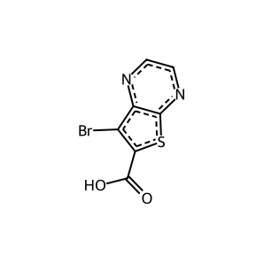 O=C(O)c1sc2nccnc2c1Br